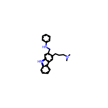 CN(C)CCCc1cc2c(cc1CNc1ccccc1)[nH]c1ccccc12